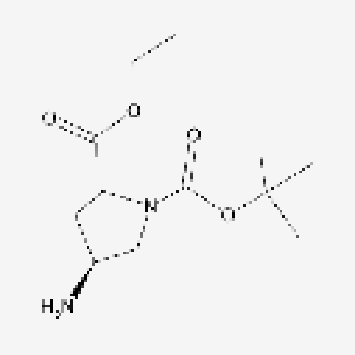 CCOC(=O)[C@H]1C[C@H](N)CN1C(=O)OC(C)(C)C